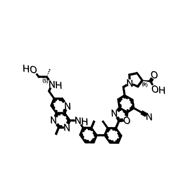 Cc1nc(Nc2cccc(-c3cccc(-c4nc5cc(CN6CC[C@@H](C(=O)O)C6)cc(C#N)c5o4)c3C)c2C)c2ncc(CN[C@@H](C)CO)cc2n1